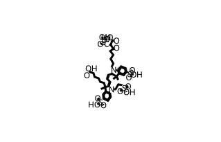 CC1(C)C(C=CC=C2N(CCCS(=O)(=O)O)c3ccc(S(=O)(=O)O)cc3C2(C)CCCCCC(=O)O)=[N+](CCCCCC(=O)C(CS(=O)(=O)O)C(=O)O)c2ccc(S(=O)(=O)O)cc21